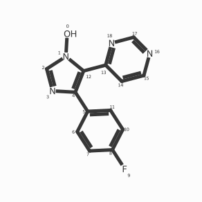 On1cnc(-c2ccc(F)cc2)c1-c1ccncn1